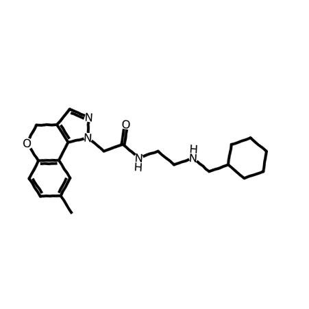 Cc1ccc2c(c1)-c1c(cnn1CC(=O)NCCNCC1CCCCC1)CO2